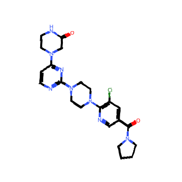 O=C1CN(c2ccnc(N3CCN(c4ncc(C(=O)N5CCCC5)cc4Cl)CC3)n2)CCN1